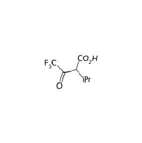 CC(C)C(C(=O)O)C(=O)C(F)(F)F